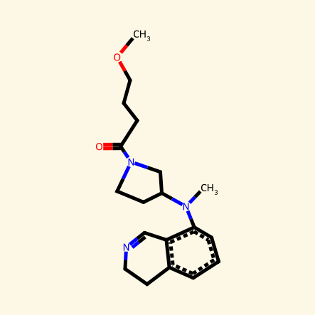 COCCCC(=O)N1CCC(N(C)c2cccc3c2C=NCC3)C1